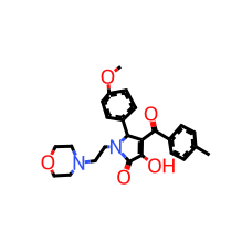 COc1ccc(C2C(C(=O)c3ccc(C)cc3)=C(O)C(=O)N2CCN2CCOCC2)cc1